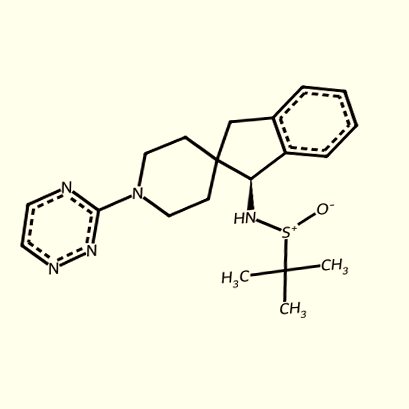 CC(C)(C)[S+]([O-])N[C@@H]1c2ccccc2CC12CCN(c1nccnn1)CC2